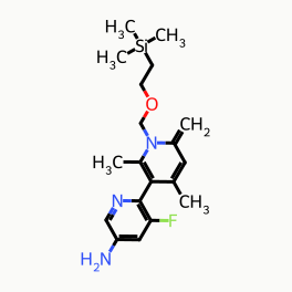 C=C1C=C(C)C(c2ncc(N)cc2F)=C(C)N1COCC[Si](C)(C)C